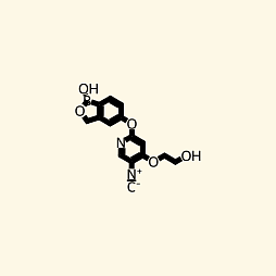 [C-]#[N+]c1cnc(Oc2ccc3c(c2)COB3O)cc1OCCO